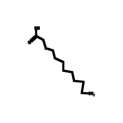 CCCCCCCCCSCC(=O)O